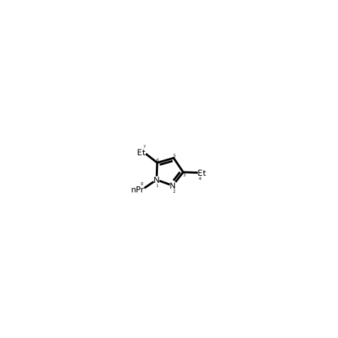 CCCn1nc(CC)cc1CC